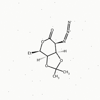 CC[C@H]1OC(=O)[C@@H](N=[N+]=[N-])[C@H]2OC(C)(C)O[C@H]21